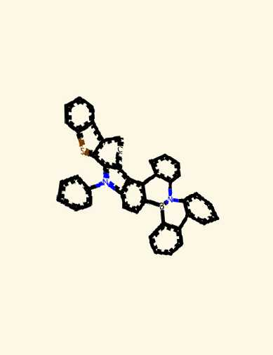 c1ccc(-n2c3ccc4c(c3c3ccc5c6ccccc6sc5c32)-c2ccccc2N2B4c3ccccc3-c3ccccc32)cc1